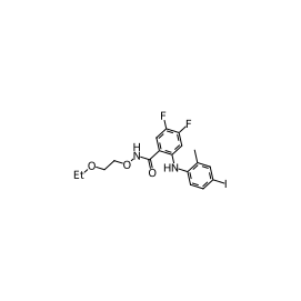 CCOCCONC(=O)c1cc(F)c(F)cc1Nc1ccc(I)cc1C